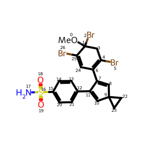 COC1(Br)CC(Br)=C(C2=CC3(C=C2c2ccc(S(N)(=O)=O)cc2)CC3)C=C1Br